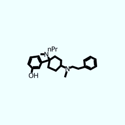 CCCN(C)C1(c2cccc(O)c2)CCC(N(C)CCc2ccccc2)CC1